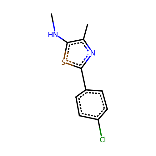 CNc1sc(-c2ccc(Cl)cc2)nc1C